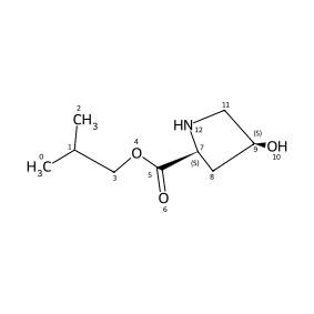 CC(C)COC(=O)[C@@H]1C[C@H](O)CN1